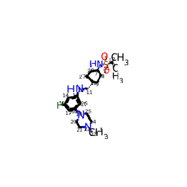 CC(C)S(=O)(=O)N[C@H]1CC[C@H](CNc2cc(F)cc(N3CCN(C)CC3)c2)CC1